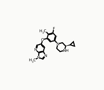 Cc1c(F)[c]c(N2CCN[C@H](C3CC3)C2)cc1Oc1cnc2c(c1)ncn2C